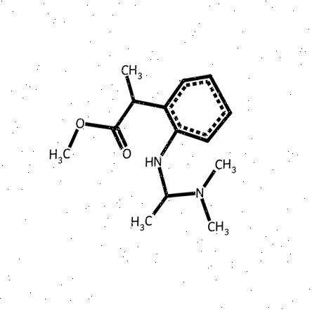 COC(=O)C(C)c1[c]cccc1NC(C)N(C)C